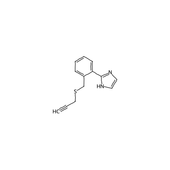 C#CCSCc1ccccc1-c1ncc[nH]1